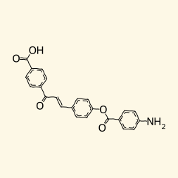 Nc1ccc(C(=O)Oc2ccc(C=CC(=O)c3ccc(C(=O)O)cc3)cc2)cc1